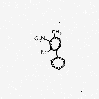 Cc1ccc(-c2ccccc2)c(C#N)c1[N+](=O)[O-]